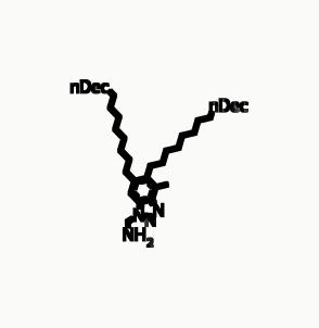 CCCCCCCCCCCCCCCCCCc1cc2c(nnn2CN)c(C)c1CCCCCCCCCCCCCCCCCC